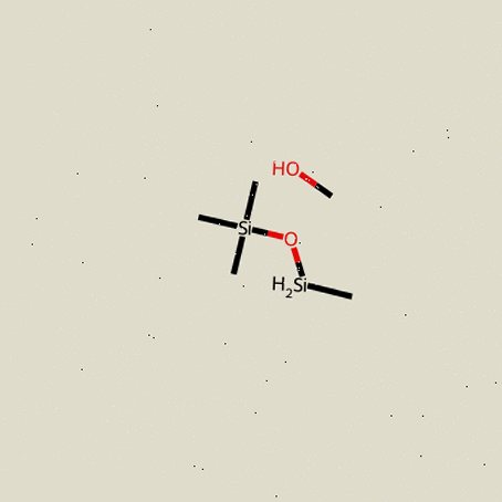 CO.C[SiH2]O[Si](C)(C)C